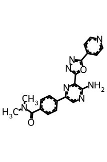 CN(C)C(=O)c1ccc(-c2cnc(N)c(-c3nnc(-c4ccncc4)o3)n2)cc1